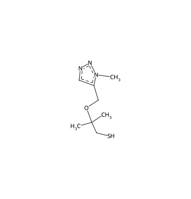 Cn1nncc1COC(C)(C)CS